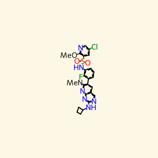 CNc1nc2nc(NC3CCC3)ncc2cc1-c1cccc(NS(=O)(=O)c2cc(Cl)cnc2OC)c1F